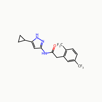 O=C(Cc1cc(C(F)(F)F)ccc1C(F)(F)F)Nc1cc(C2CC2)[nH]n1